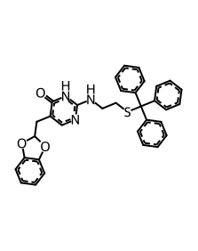 O=c1[nH]c(NCCSC(c2ccccc2)(c2ccccc2)c2ccccc2)ncc1CC1Oc2ccccc2O1